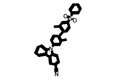 Cc1cc(-n2c3ccccc3c3cc(C#N)ccc32)ccc1-c1ccc(S(=O)(=O)c2ccccc2)cc1C